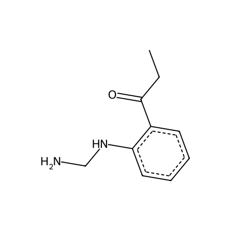 CCC(=O)c1ccccc1NCN